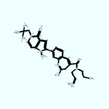 CCCN(CCC)C(=O)C1=Cc2ccc(-c3cc4c(=O)n(CC(C)(C)O)ccc4n3C)cc2N=C(N)C1